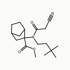 COC(=O)C1(N(CCC(C)(C)C)C(=O)CC#N)CC2CCC1C2